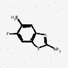 Bc1cc2nc(N)sc2cc1F